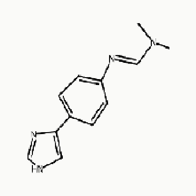 CN(C)/C=N/c1ccc(-c2c[nH]cn2)cc1